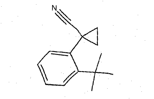 CC(C)(C)c1ccccc1C1(C#N)CC1